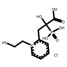 O=C(O)C(O)(Cc1cccc[n+]1CCS)P(=O)(O)O.[Cl-]